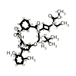 CCN(C(=O)OC)C1CC(N2C(=O)c3cccc(c3)S(=O)(=O)Nc3nc(cc(-c4c(C)cccc4C)n3)OC[C@H]2CC(C)(C)C)C1